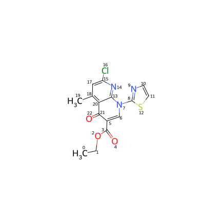 CCOC(=O)c1cn(-c2nccs2)c2nc(Cl)cc(C)c2c1=O